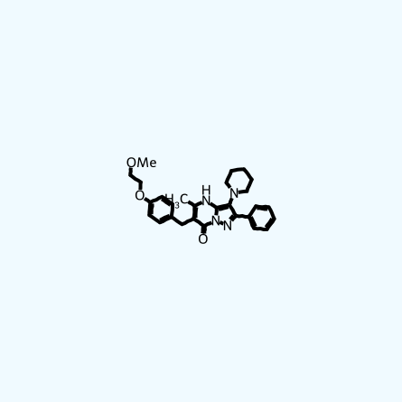 COCCOc1ccc(Cc2c(C)[nH]c3c(N4CCCCC4)c(-c4ccccc4)nn3c2=O)cc1